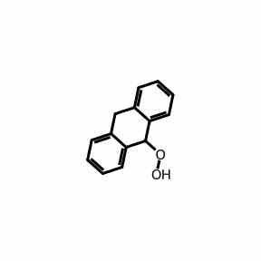 OOC1c2ccccc2Cc2ccccc21